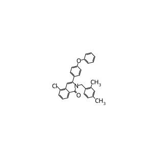 Cc1ccc(Cn2c(-c3ccc(Oc4ccccc4)cc3)cc3c(Cl)cccc3c2=O)c(C)c1